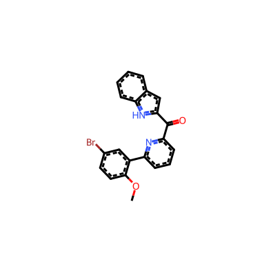 COc1ccc(Br)cc1-c1cccc(C(=O)c2cc3ccccc3[nH]2)n1